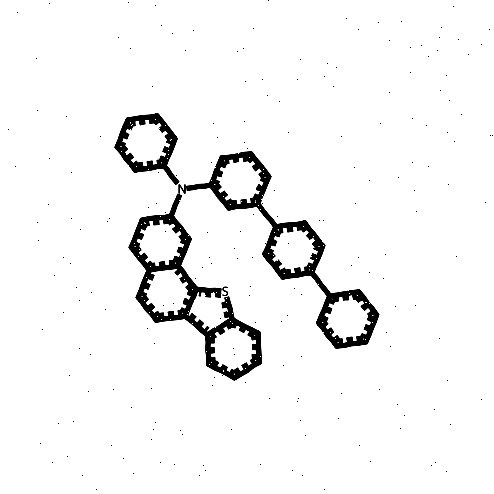 c1ccc(-c2ccc(-c3cccc(N(c4ccccc4)c4ccc5ccc6c7ccccc7sc6c5c4)c3)cc2)cc1